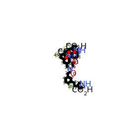 O=C(Cc1cccc(CC(F)(C(=O)O)C2CCNC2)c1)N(CCOc1cccc(CC(F)(C(=O)O)C2CCNC2)c1)Cc1cccc(CC(F)(C(=O)O)C2CCNC2)c1